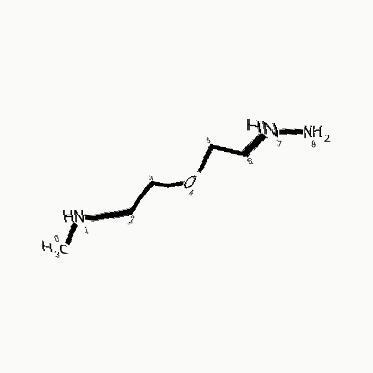 CNCCOCCNN